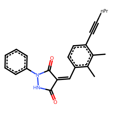 CCCC#Cc1ccc(/C=C2/C(=O)NN(c3ccccc3)C2=O)c(C)c1C